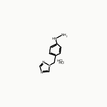 Cl.Cl.NNc1ccc(Cn2cncn2)cc1